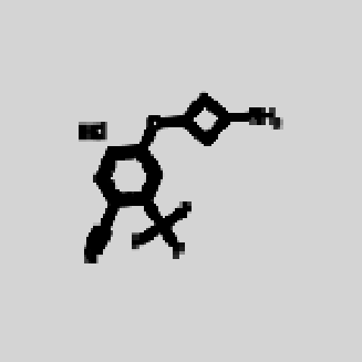 Cl.N#Cc1ccc(OC2CC(N)C2)cc1C(F)(F)F